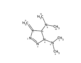 C=C1N=NN(N(C)C)C1N(C)C